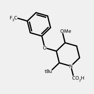 COC1CCN(C(=O)O)C(C(C)(C)C)C1Oc1cccc(C(F)(F)F)c1